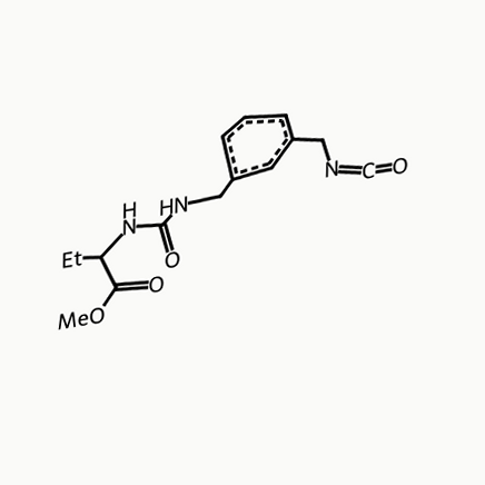 CCC(NC(=O)NCc1cccc(CN=C=O)c1)C(=O)OC